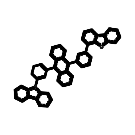 C1=C(c2c3ccccc3c(-c3cccc(-c4cccc5c4oc4ccccc45)c3)c3ccccc23)C=C(n2c3ccccc3c3ccccc32)CC1